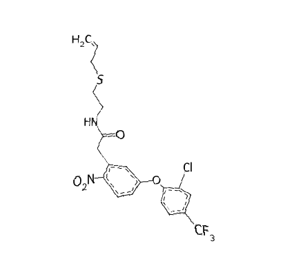 C=CCSCCNC(=O)Cc1cc(Oc2ccc(C(F)(F)F)cc2Cl)ccc1[N+](=O)[O-]